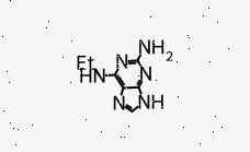 CCNc1nc(N)nc2[nH]cnc12